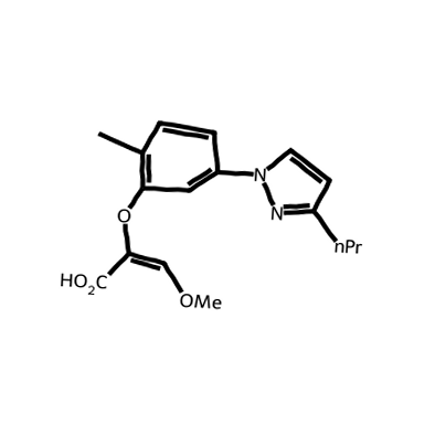 CCCc1ccn(-c2ccc(C)c(OC(=COC)C(=O)O)c2)n1